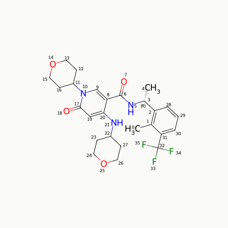 Cc1c([C@@H](C)NC(=O)c2cn(C3CCOCC3)c(=O)cc2NC2CCOCC2)cccc1C(F)(F)F